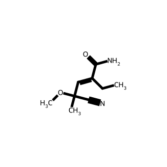 CC/C(=C\C(C)(C#N)OC)C(N)=O